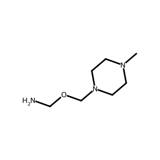 CN1CCN(COCN)CC1